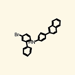 Brc1ccc(Nc2ccc(-c3ccc4ccccc4c3)cc2)c(-c2ccccc2)c1